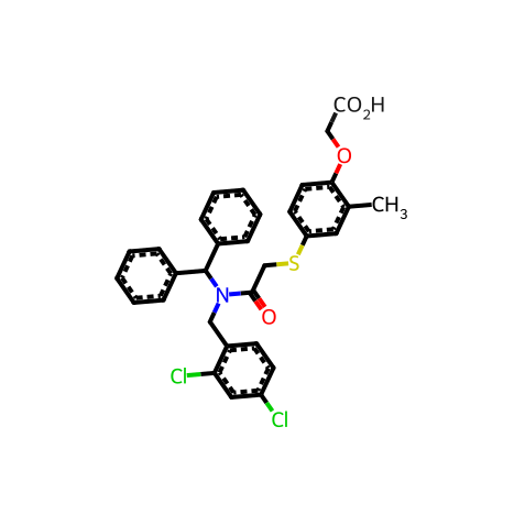 Cc1cc(SCC(=O)N(Cc2ccc(Cl)cc2Cl)C(c2ccccc2)c2ccccc2)ccc1OCC(=O)O